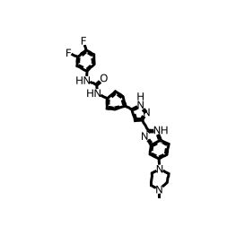 CN1CCN(c2ccc3[nH]c(-c4cc(-c5ccc(NC(=O)Nc6ccc(F)c(F)c6)cc5)[nH]n4)nc3c2)CC1